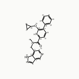 CN(Cc1cncc2cn[nH]c12)C(=O)c1ccc(-c2ccccc2)c(OC2CC2)n1